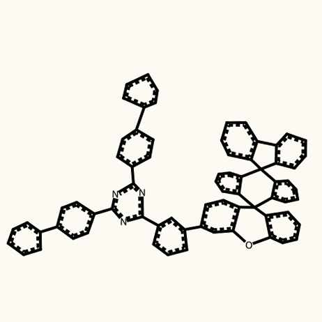 c1ccc(-c2ccc(-c3nc(-c4ccc(-c5ccccc5)cc4)nc(-c4cccc(-c5ccc6c(c5)Oc5ccccc5C65c6ccccc6C6(c7ccccc7-c7ccccc76)c6ccccc65)c4)n3)cc2)cc1